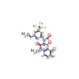 C=Cc1cc(C(F)(F)F)cc(N2C(=O)OC[C@H]2C(=O)N(C)c2ccc(F)c(Cl)c2)n1